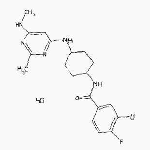 CNc1cc(NC2CCC(NC(=O)c3ccc(F)c(Cl)c3)CC2)nc(C)n1.Cl